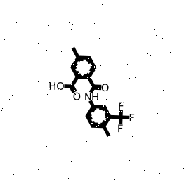 Cc1ccc(C(=O)Nc2ccc(C)c(C(F)(F)F)c2)c(C(=O)O)c1